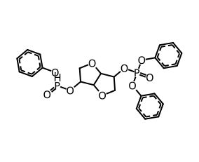 O=[PH](Oc1ccccc1)OC1COC2C(OP(=O)(Oc3ccccc3)Oc3ccccc3)COC12